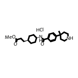 COC(=O)CC[C@H]1CC[C@H](NC(=O)c2ccc(C3(C)CCNCC3)cc2)CC1.Cl